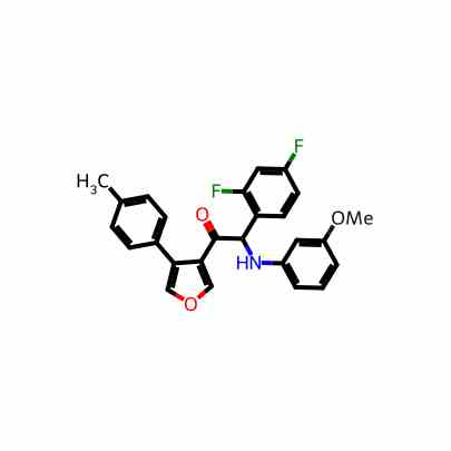 COc1cccc(NC(C(=O)c2cocc2-c2ccc(C)cc2)c2ccc(F)cc2F)c1